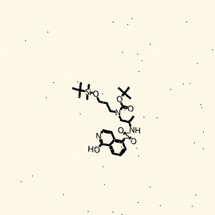 CC(CN(CCCO[Si](C)(C)C(C)(C)C)C(=O)OC(C)(C)C)NS(=O)(=O)c1cccc2c(O)nccc12